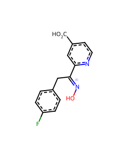 O=C(O)c1ccnc(/C(Cc2ccc(F)cc2)=N/O)c1